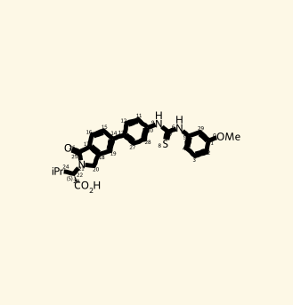 COc1cccc(NC(=S)Nc2ccc(-c3ccc4c(c3)CN([C@H](C(=O)O)C(C)C)C4=O)cc2)c1